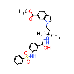 COC(=O)c1ccc2ccn(CCC(C)(C)NCC(O)c3cccc(NS(=O)(=O)c4ccccc4)c3)c2c1